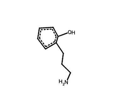 NCCCc1ccccc1O